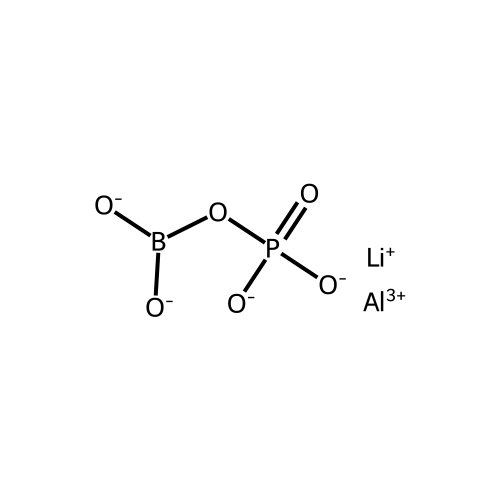 O=P([O-])([O-])OB([O-])[O-].[Al+3].[Li+]